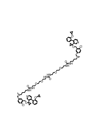 CN(CCCCNC(=O)NCCOCCOCCNC(=O)NCCOCCOCCNC(=O)NCCCCN(C)Sc1ccc(Cl)c(COC2(c3cnccc3-c3ccccc3OC3CC3)CC2)c1)Sc1ccc(Cl)c(COC2(c3cnccc3-c3ccccc3OC3CC3)CC2)c1